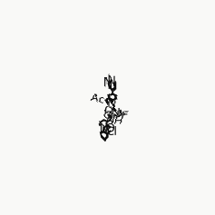 CC(=O)c1cn(CC(=O)N2C[C@@H](F)C[C@@H]2C(=O)NC2CCCN(c3ccccc3Cl)C2=O)c2ccc(-c3ccnnc3)cc12